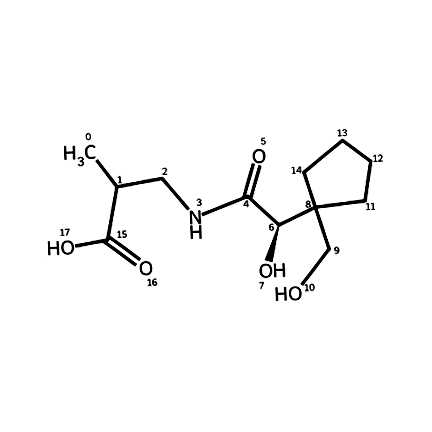 CC(CNC(=O)[C@H](O)C1(CO)CCCC1)C(=O)O